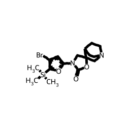 C[Si](C)(C)c1oc(N2CC3(CN4CCC3CC4)OC2=O)cc1Br